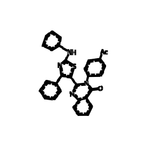 CC(=O)c1ccc(-n2c(-c3sc(Nc4ccccc4)nc3-c3ccccc3)nc3ccccc3c2=O)cc1